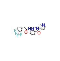 Cc1ncccc1-n1ccc2c(NC(=O)Cc3ccc(F)c(C(F)(F)F)c3)cccc2c1=O